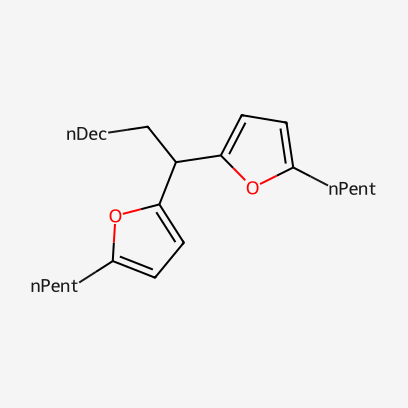 CCCCCCCCCCCC(c1ccc(CCCCC)o1)c1ccc(CCCCC)o1